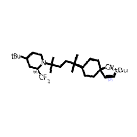 CC(C)(C)/C=C\C1(C#N)CCC(C(C)(C)CCC(C)(C)N2CCC(C(C)(C)C)C[C@@H]2C(F)(F)F)CC1